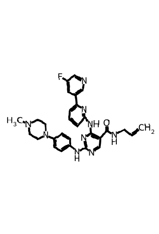 C=CCNC(=O)c1cnc(Nc2ccc(N3CCN(C)CC3)cc2)nc1Nc1cccc(-c2cncc(F)c2)n1